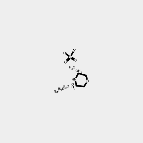 C1COCCN1.O.O.O.O.O.O=S(=O)([O-])[S-].[Na+].[Na+]